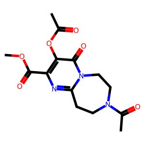 COC(=O)c1nc2n(c(=O)c1OC(C)=O)CCN(C(C)=O)CC2